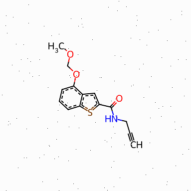 C#CCNC(=O)c1cc2c(OCOC)cccc2s1